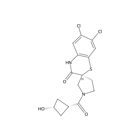 O=C1Nc2cc(Cl)c(Cl)cc2S[C@]12CCN(C(=O)[C@H]1C[C@@H](O)C1)C2